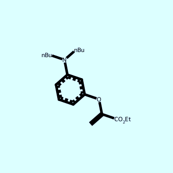 C=C(Oc1cccc(N(CCCC)CCCC)c1)C(=O)OCC